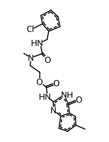 Cc1ccc2nc(NC(=O)OCCN(C)C(=O)NCc3ccccc3Cl)[nH]c(=O)c2c1